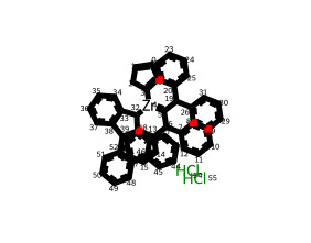 C1=CC[C]([Zr](=[C](C(c2ccccc2)c2ccccc2)C(c2ccccc2)c2ccccc2)[CH]2c3ccccc3-c3c2c2ccccc2c2ccccc32)=C1.Cl.Cl